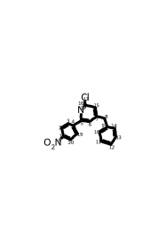 O=[N+]([O-])c1ccc(-c2cc(Cc3ccccc3)cc(Cl)n2)cc1